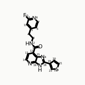 O=C(NCCc1ccnc(F)c1)c1ccnc2[nH]c(-c3ccsc3)nc12